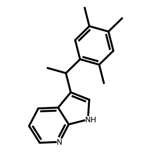 Cc1cc(C)c(C(C)c2c[nH]c3ncccc23)cc1C